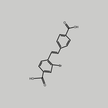 O=C(O)c1ccc(C=Cc2ccc(C(=O)O)cc2Br)cc1